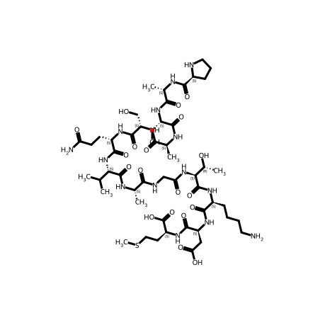 CSCC[C@H](NC(=O)[C@H](CC(=O)O)NC(=O)[C@H](CCCCN)NC(=O)[C@@H](NC(=O)CNC(=O)[C@H](C)NC(=O)[C@@H](NC(=O)[C@H](CCC(N)=O)NC(=O)[C@H](CO)NC(=O)[C@H](C)NC(=O)[C@H](CO)NC(=O)[C@H](C)NC(=O)[C@@H]1CCCN1)C(C)C)[C@@H](C)O)C(=O)O